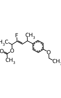 CCOc1ccc(C(C)C=C(F)C(C)OC(C)=O)cc1